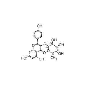 C[C@@H]1O[C@@H](Oc2c(-c3ccc(O)cc3)oc3cc(O)cc(O)c3c2=O)[C@@H](O)[C@@H](O)[C@H]1O